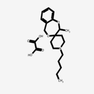 CCCCCN1CCC2(CC1)OCc1ccccc1OC2C.O=C(O)C(=O)O